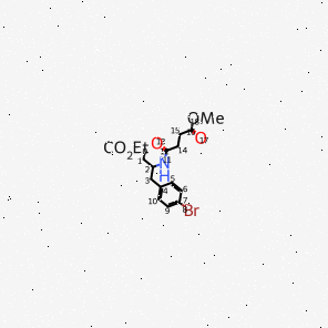 CCOC(=O)CC(Cc1ccc(Br)cc1)NC(=O)CCC(=O)OC